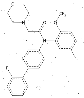 [CH]c1ccc(OC(F)(F)F)c(N(C(=O)CN2CCOCC2)c2ccc(-c3ccccc3F)nc2)c1